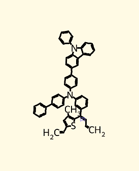 C=C/C=C(/c1cccc(N(c2ccc(-c3ccccc3)cc2)c2ccc(-c3ccc4c(c3)c3ccccc3n4-c3ccccc3)cc2)c1)c1sc(C=C)cc1C